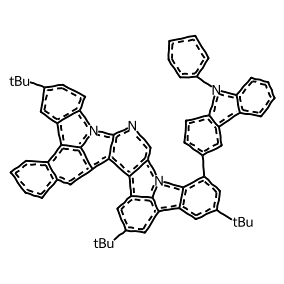 CC(C)(C)c1ccc2c(c1)c1c3ccccc3cc3c4c5c6cc(C(C)(C)C)cc7c8cc(C(C)(C)C)cc(-c9ccc%10c(c9)c9ccccc9n%10-c9ccccc9)c8n(c5cnc4n2c31)c76